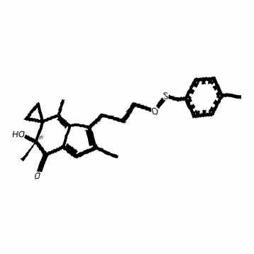 CC1=C(CCCOSc2ccc(C)cc2)C2=C(C)C3(CC3)[C@@](C)(O)C(=O)C2=C1